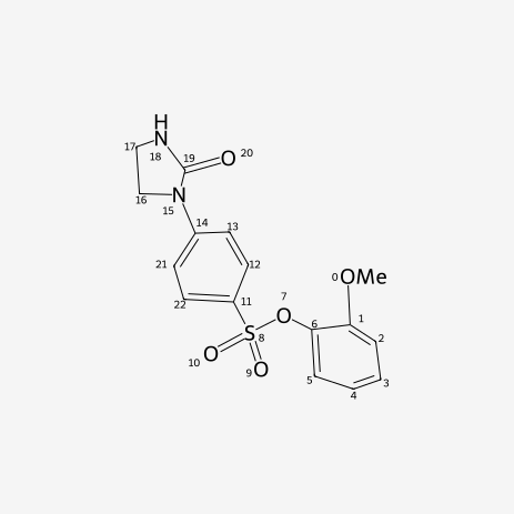 COc1ccccc1OS(=O)(=O)c1ccc(N2CCNC2=O)cc1